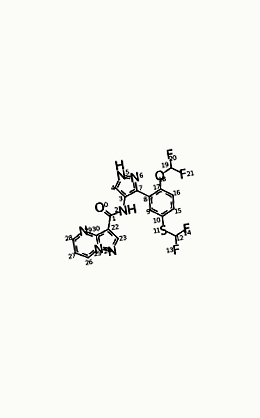 O=C(Nc1c[nH]nc1-c1cc(SC(F)F)ccc1OC(F)F)c1cnn2cccnc12